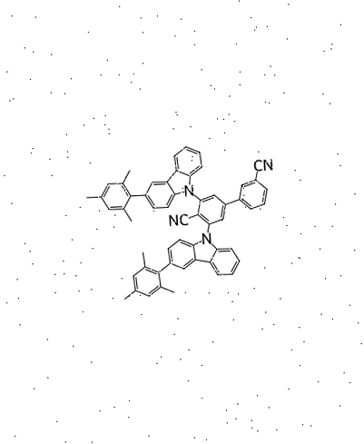 Cc1cc(C)c(-c2ccc3c(c2)c2ccccc2n3-c2cc(-c3cccc(C#N)c3)cc(-n3c4ccccc4c4cc(-c5c(C)cc(C)cc5C)ccc43)c2C#N)c(C)c1